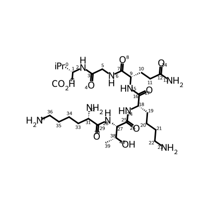 CC(C)[C@H](NC(=O)CNC(=O)[C@H](CCC(N)=O)NC(=O)[C@H](CCCCN)NC(=O)[C@@H](NC(=O)[C@@H](N)CCCCN)[C@@H](C)O)C(=O)O